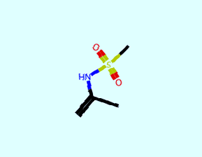 C=C(C)NS(C)(=O)=O